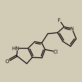 O=C1Cc2cc(Cl)c(Cc3cccnc3F)cc2N1